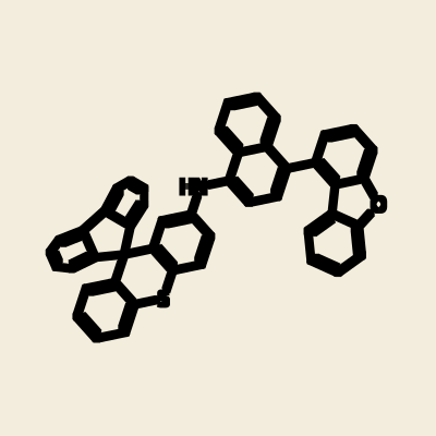 c1ccc2c(c1)Sc1ccc(Nc3ccc(-c4cccc5oc6ccccc6c45)c4ccccc34)cc1C21c2ccccc2-c2ccccc21